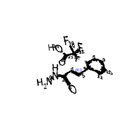 NNC(=O)/C=C/c1ccccc1.O=C(O)C(F)(F)F